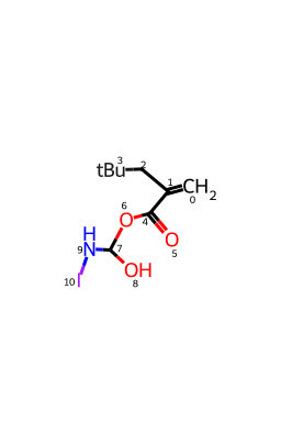 C=C(CC(C)(C)C)C(=O)OC(O)NI